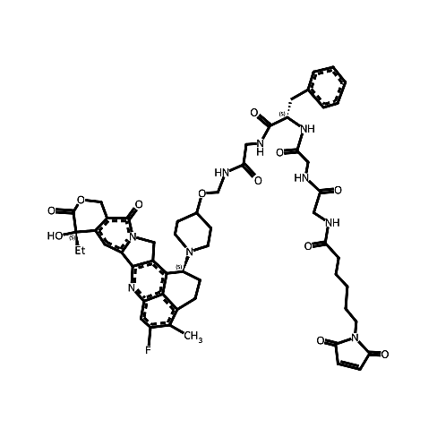 CC[C@@]1(O)C(=O)OCc2c1cc1n(c2=O)Cc2c-1nc1cc(F)c(C)c3c1c2[C@@H](N1CCC(OCNC(=O)CNC(=O)[C@H](Cc2ccccc2)NC(=O)CNC(=O)CNC(=O)CCCCCN2C(=O)C=CC2=O)CC1)CC3